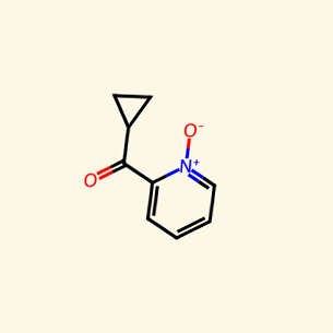 O=C(c1cccc[n+]1[O-])C1CC1